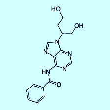 O=C(Nc1ncnc2c1ncn2C(CO)CCO)c1ccccc1